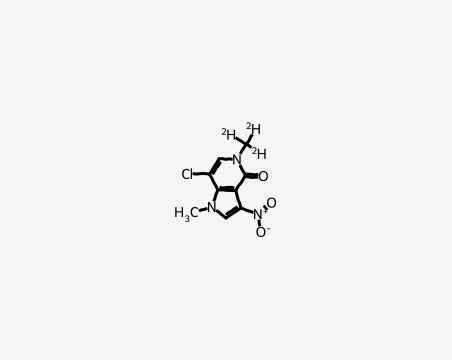 [2H]C([2H])([2H])n1cc(Cl)c2c(c([N+](=O)[O-])cn2C)c1=O